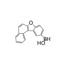 OBc1ccc2oc3ccc4ccccc4c3c2c1